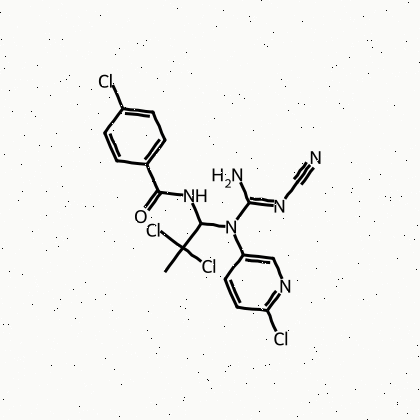 CC(Cl)(Cl)C(NC(=O)c1ccc(Cl)cc1)N(C(N)=NC#N)c1ccc(Cl)nc1